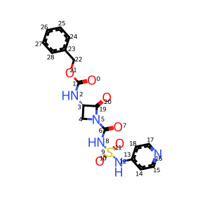 O=C(N[C@H]1CN(C(=O)NS(=O)(=O)Nc2ccncc2)C1=O)OCc1ccccc1